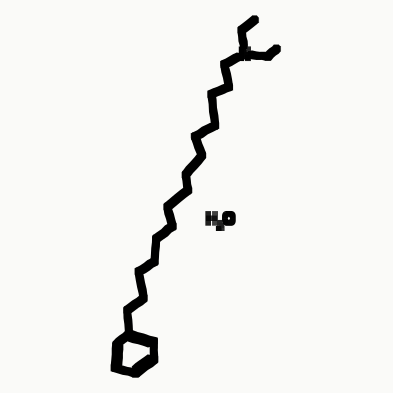 CCN(CC)CCCCCCCCCCCCCCCc1ccccc1.O